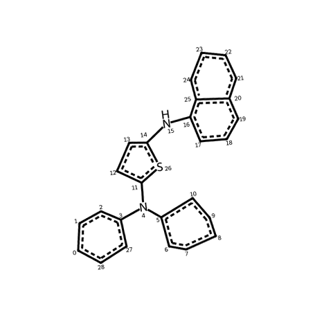 c1ccc(N(c2ccccc2)c2ccc(Nc3cccc4ccccc34)s2)cc1